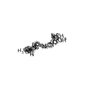 COC(O)c1ccc(N2CCC(CN3CCC(c4cccc(S(=O)(=O)N5CCC(NC(=O)OC(C)(C)C)CC5)c4)CC3)CC2)cc1C#N